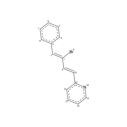 BrC(=C\c1ccccc1)/C=C/c1ccccn1